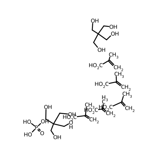 C=C(C)C(=O)O.C=C(C)C(=O)O.C=C(C)C(=O)O.C=C(C)C(=O)O.C=C(C)C(=O)O.O=P(O)(O)O.OCC(CO)(CO)CO.OCC(CO)(CO)CO